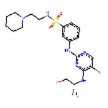 C[C@H](CO)Nc1nc(Nc2cccc(S(=O)(=O)NCCN3CCCCC3)c2)ncc1Br